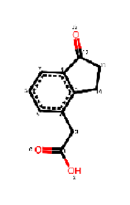 O=C(O)Cc1cccc2c1CCC2=O